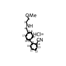 COCCNCc1ccc(-c2ccccc2C#N)cc1.Cl